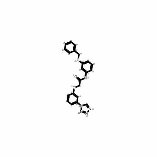 O=C(COc1cccc(-n2cnnn2)c1)Nc1cccc(OCc2ccccc2)c1